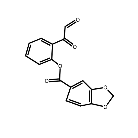 O=CC(=O)c1ccccc1OC(=O)c1ccc2c(c1)OCO2